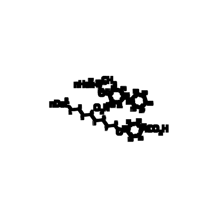 CCCCCCCCCCCCCCCCCCOc1ccc(C(=O)O)cc1.CCCCCC[C@H](C)Oc1ccc(-c2ccccc2)cc1[N+](=O)[O-]